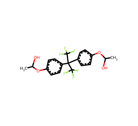 CC(O)Oc1ccc(C(c2ccc(OC(C)O)cc2)(C(F)(F)F)C(F)(F)F)cc1